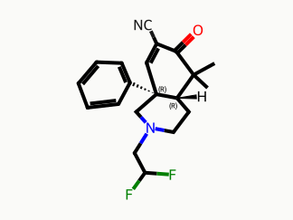 CC1(C)C(=O)C(C#N)=C[C@]2(c3ccccc3)CN(CC(F)F)CC[C@@H]12